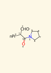 CCCC([C]=O)C(=O)N1CCCC1